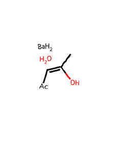 CC(=O)/C=C(/C)O.O.[BaH2]